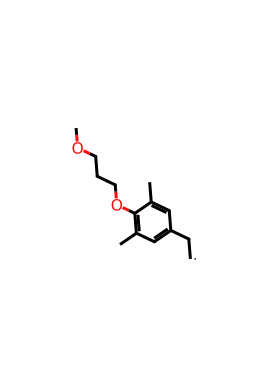 [CH2]Cc1cc(C)c(OCCCOC)c(C)c1